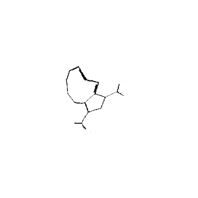 CC(C)C1CC(C(C)C)C2CCCC/C=C/C=C/12